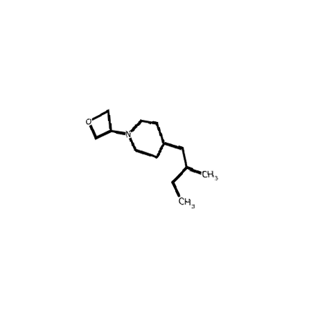 CCC(C)CC1CCN(C2COC2)CC1